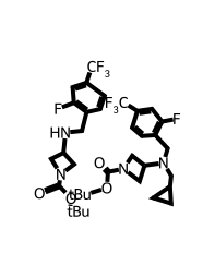 CC(C)(C)OC(=O)N1CC(N(Cc2ccc(C(F)(F)F)cc2F)CC2CC2)C1.CC(C)(C)OC(=O)N1CC(NCc2ccc(C(F)(F)F)cc2F)C1